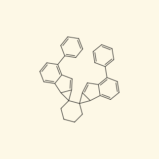 C1=C2C(c3cccc(-c4ccccc4)c31)C21CCCCC12C1=Cc3c(-c4ccccc4)cccc3C12